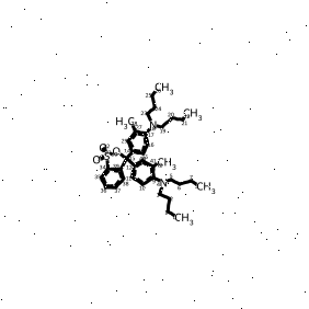 CCCCN(CCCC)c1ccc(C2(c3ccc(N(CCCC)CCCC)c(C)c3)OS(=O)(=O)c3ccccc32)cc1C